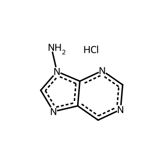 Cl.Nn1cnc2cncnc21